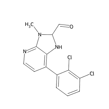 CN1c2nccc(-c3cccc(Cl)c3Cl)c2NC1C=O